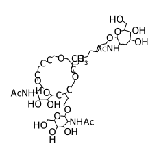 CC(=O)NC1CC(O)[C@@H](O)C(CO)O[C@H]1OCCCCCOCC1(C)COCCCCCO[C@@H]2OC(CC(CCO[C@@H]3OC(CO)[C@H](O)C(O)C3NC(C)=O)CCOC1)[C@H](O)C(O)C2NC(C)=O